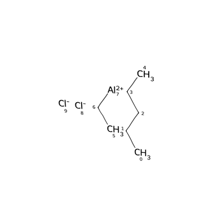 CCCCC.C[CH2][Al+2].[Cl-].[Cl-]